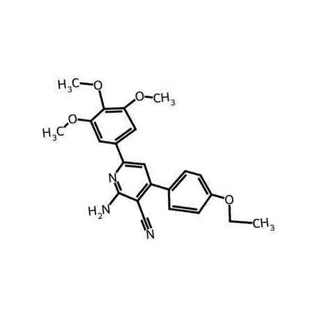 CCOc1ccc(-c2cc(-c3cc(OC)c(OC)c(OC)c3)nc(N)c2C#N)cc1